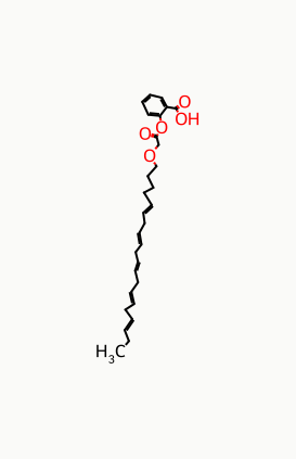 CCC=CCC=CCC=CCC=CCC=CCCCCOCC(=O)Oc1ccccc1C(=O)O